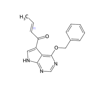 C/C=C/C(=O)c1c[nH]c2ncnc(OCc3ccccc3)c12